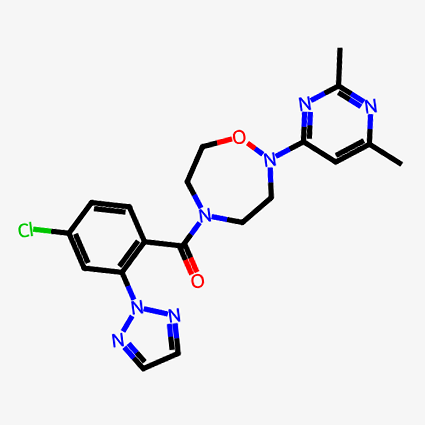 Cc1cc(N2CCN(C(=O)c3ccc(Cl)cc3-n3nccn3)CCO2)nc(C)n1